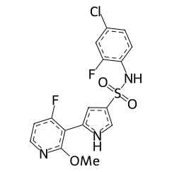 COc1nccc(F)c1-c1cc(S(=O)(=O)Nc2ccc(Cl)cc2F)c[nH]1